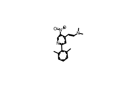 Cc1cccc(C)c1-c1cc(C=CN(C)C)c([N+](=O)[O-])cn1